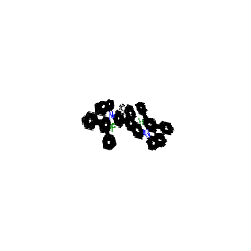 C[Si]1(C)c2cc(N(c3cc(-c4ccccc4)cc(-c4ccccc4)c3F)c3cccc4ccccc34)ccc2-c2cc3ccc(N(c4cc(-c5ccccc5)cc(-c5ccccc5)c4F)c4cccc5ccccc45)cc3c3cccc1c23